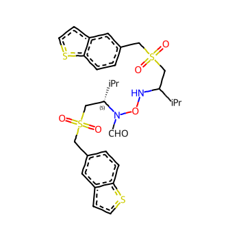 CC(C)C(CS(=O)(=O)Cc1ccc2sccc2c1)NON(C=O)[C@H](CS(=O)(=O)Cc1ccc2sccc2c1)C(C)C